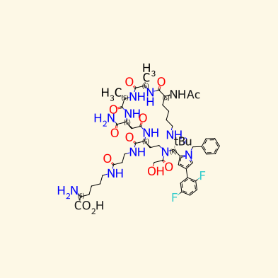 CC(=O)N[C@@H](CCCCN)C(=O)N[C@@H](C)C(=O)N[C@@H](C)C(=O)N[C@@H](CC(=O)N[C@@H](CCN(C(=O)CO)[C@@H](c1cc(-c2cc(F)ccc2F)cn1Cc1ccccc1)C(C)(C)C)C(=O)NCCC(=O)NCCCC[C@H](N)C(=O)O)C(N)=O